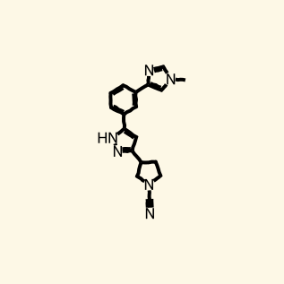 Cn1cnc(-c2cccc(-c3cc(C4CCN(C#N)C4)n[nH]3)c2)c1